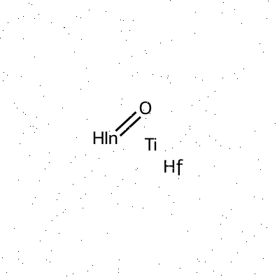 [Hf].[O]=[InH].[Ti]